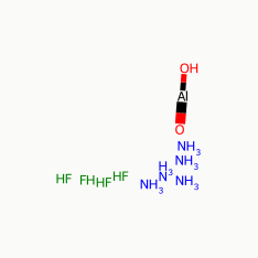 F.F.F.F.N.N.N.N.N.[O]=[Al][OH]